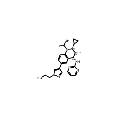 CC(O)N1c2ccc(-c3cnn(CCO)c3)cc2[C@H](Nc2ncccn2)[C@@H](C)[C@@H]1C1CC1